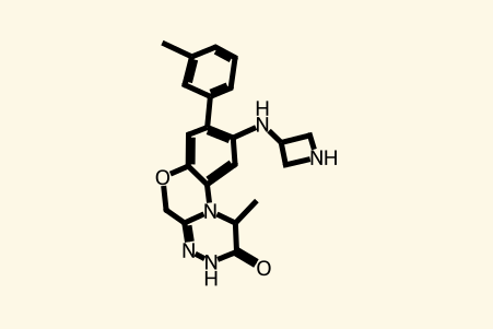 Cc1cccc(-c2cc3c(cc2NC2CNC2)N2C(=NNC(=O)C2C)CO3)c1